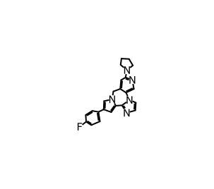 Fc1ccc(-c2cc3n(c2)Cc2cc(N4CCCC4)ncc2-n2ccnc2-3)cc1